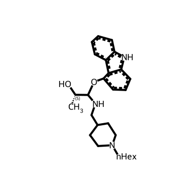 CCCCCCN1CCC(CNC(Oc2cccc3[nH]c4ccccc4c23)[C@H](C)O)CC1